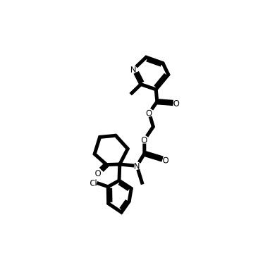 Cc1ncccc1C(=O)OCOC(=O)N(C)C1(c2ccccc2Cl)CCCCC1=O